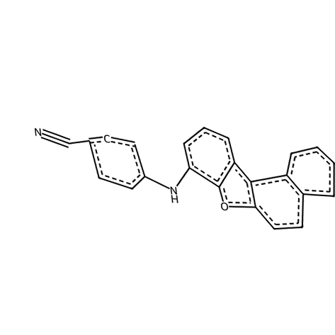 N#Cc1ccc(Nc2cccc3c2oc2ccc4ccccc4c23)cc1